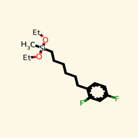 CCO[Si](C)(CCCCCCc1ccc(F)cc1F)OCC